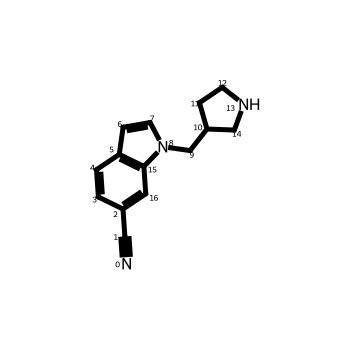 N#Cc1ccc2ccn(CC3CCNC3)c2c1